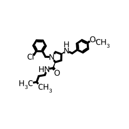 COc1ccc(CN[C@H]2C[C@@H](C(=O)NCCC(C)C)N(Cc3ccccc3Cl)C2)cc1